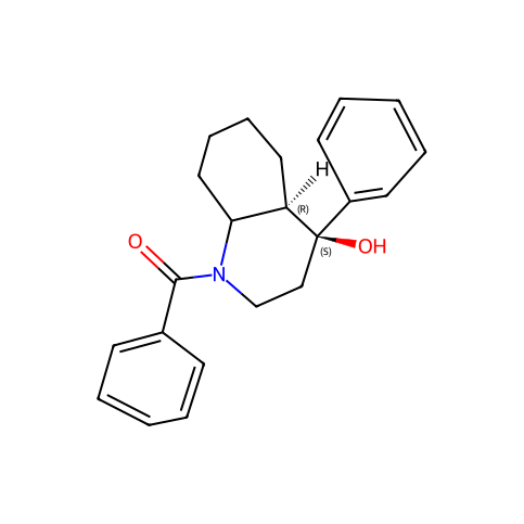 O=C(c1ccccc1)N1CC[C@@](O)(c2ccccc2)[C@@H]2CCCCC21